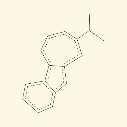 CC(C)c1cccc2c3ccccc3cc-2c1